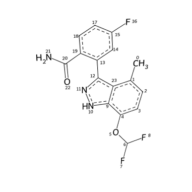 Cc1ccc(OC(F)F)c2[nH]nc(-c3cc(F)ccc3C(N)=O)c12